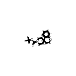 CC(C)(C)OC(=O)N1CCC2(CCOc3ccccc32)CC1